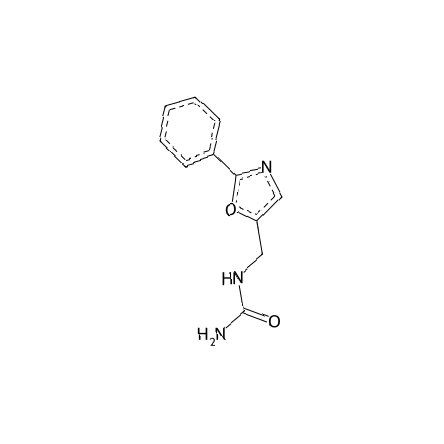 NC(=O)NCc1cnc(-c2ccccc2)o1